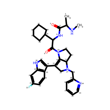 CNC(C)C(=O)NC(C(=O)N1CCC2C1=C(c1c[nH]c3cc(F)ccc13)CN2Cc1ccccn1)C1CCCCC1